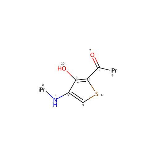 CC(C)Nc1csc(C(=O)C(C)C)c1O